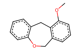 COc1cccc2c1Cc1ccccc1OC2